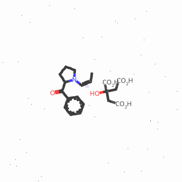 C/C=C\N1CCCC1C(=O)c1ccccc1.O=C(O)CC(O)(CC(=O)O)C(=O)O